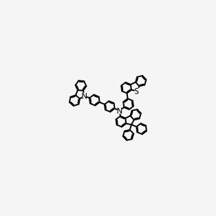 c1ccc(C2(c3ccccc3)c3ccccc3-c3c(N(c4ccc(-c5ccc(-n6c7ccccc7c7ccccc76)cc5)cc4)c4cccc(-c5cccc6c5sc5ccccc56)c4)cccc32)cc1